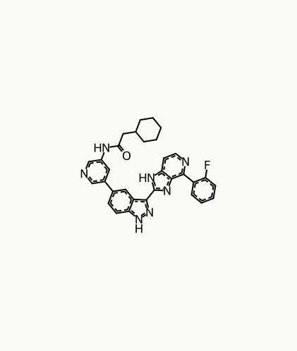 O=C(CC1CCCCC1)Nc1cncc(-c2ccc3[nH]nc(-c4nc5c(-c6ccccc6F)nccc5[nH]4)c3c2)c1